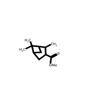 [CH2]OC(=O)C1CC2CC(C1C)C2(C)C